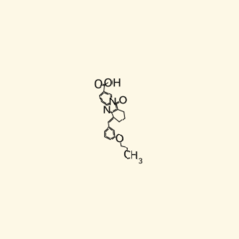 CCCOc1cccc(C=C2CCCc3c2nc2ccc(C(=O)O)cn2c3=O)c1